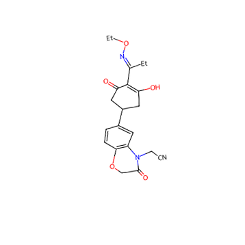 CCON=C(CC)C1=C(O)CC(c2ccc3c(c2)N(CC#N)C(=O)CO3)CC1=O